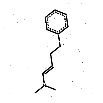 CN(C)/C=C/CCc1ccccc1